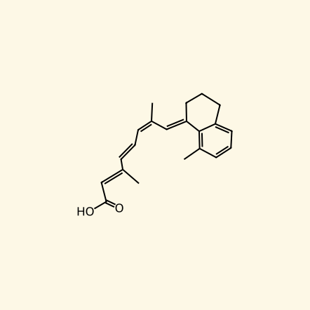 CC(=C/C=C/C(C)=C/C(=O)O)/C=C1\CCCc2cccc(C)c21